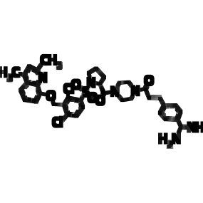 Cc1cc(C)c2cccc(OCc3c(Cl)ccc(S(=O)(=O)N4CCC[C@H]4C(=O)N4CCN(C(=O)/C=C/c5ccc(C(=N)N)cc5)CC4)c3Cl)c2n1